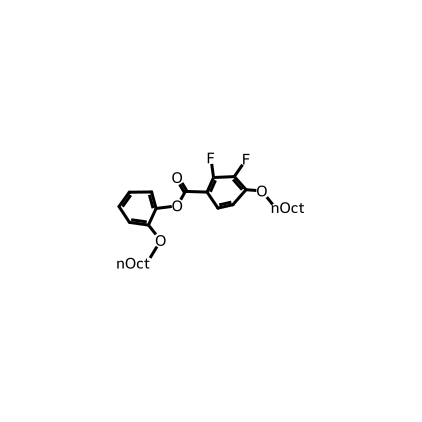 CCCCCCCCOc1ccccc1OC(=O)c1ccc(OCCCCCCCC)c(F)c1F